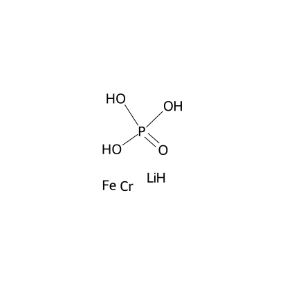 O=P(O)(O)O.[Cr].[Fe].[LiH]